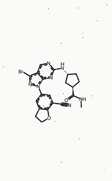 CNC(=O)[C@@H]1CC[C@@H](Nc2ncc3c(Br)nn(-c4cc(C#N)c5c(c4)CCO5)c3n2)C1